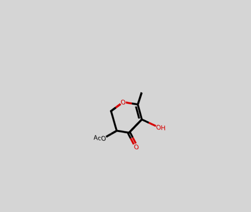 CC(=O)OC1COC(C)=C(O)C1=O